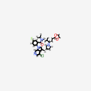 CC(C)[C@@H](CCC1OCCO1)N1CC[C@H](Cc2cn(-c3ccc(F)cc3C(=O)N(C)C(C)C)c3cncc(Cl)c23)C1